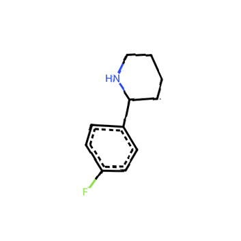 Fc1ccc(C2[CH]CCCN2)cc1